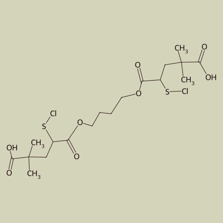 CC(C)(CC(SCl)C(=O)OCCCCOC(=O)C(CC(C)(C)C(=O)O)SCl)C(=O)O